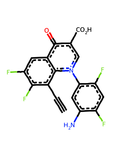 C#Cc1c(F)c(F)cc2c(=O)c(C(=O)O)cn(-c3cc(N)c(F)cc3F)c12